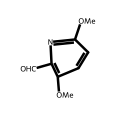 COc1ccc(OC)c(C=O)n1